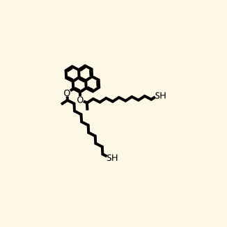 CC(CCCCCCCCCCS)Oc1c(OC(C)CCCCCCCCCCS)c2cccc3ccc4cccc1c4c32